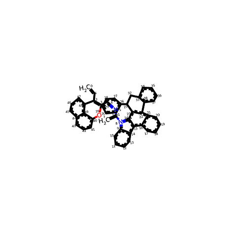 C=CC1=C(/C=N\C(=C)n2c3ccccc3c3c4ccccc4c4c(c32)C(c2ccccc2)Cc2ccccc2-4)Oc2cccc3cccc1c23